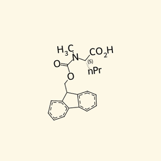 CCC[C@@H](C(=O)O)N(C)C(=O)OCC1c2ccccc2-c2ccccc21